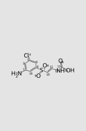 Nc1cc(Cl)cc(S(=O)(=O)C=CNC(=O)O)c1